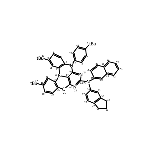 CC(C)(C)c1ccc(N2c3ccc(C(C)(C)C)cc3B3c4cc(C(C)(C)C)ccc4Oc4nc(N(c5ccc6c(c5)CCC6)c5ccc6ccccc6c5)nc2c43)cc1